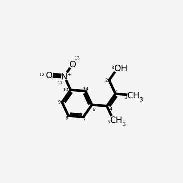 CC(CO)=C(C)c1cccc([N+](=O)[O-])c1